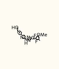 COc1cc(C)c(F)c(COc2cnc(Nc3ccc(C4CCN(CCO)CC4)nc3)nc2)c1F